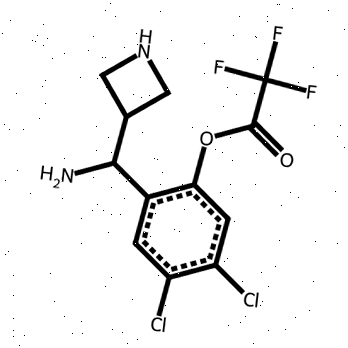 NC(c1cc(Cl)c(Cl)cc1OC(=O)C(F)(F)F)C1CNC1